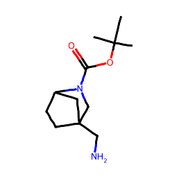 CC(C)(C)OC(=O)N1CC2(CN)CCC1C2